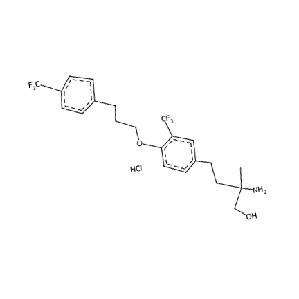 CC(N)(CO)CCc1ccc(OCCCc2ccc(C(F)(F)F)cc2)c(C(F)(F)F)c1.Cl